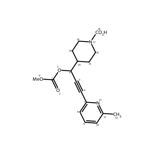 COC(=O)OC(C#Cc1cccc(C)n1)C1CCN(C(=O)O)CC1